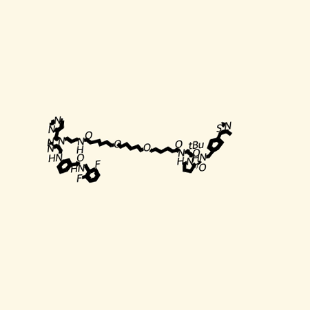 Cc1ncsc1-c1ccc(CNC(=O)[C@@H]2CCCN2C(=O)C(NC(=O)CCCCCOCCCCCOCCCCCC(=O)NCCCn2c(CNc3cccc(C(=O)NCc4c(F)cccc4F)c3)nnc2-c2ccncn2)C(C)(C)C)cc1